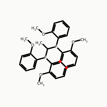 COc1ccccc1P(c1ccccc1OC)C(C)P(c1ccccc1OC)c1ccccc1OC